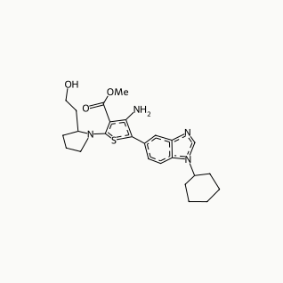 COC(=O)c1c(N2CCCC2CCO)sc(-c2ccc3c(c2)ncn3C2CCCCC2)c1N